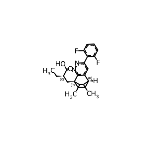 CC[C@H](C[C@@]12CC[C@@H](c3cc(-c4c(F)cccc4F)nnc31)C(C)C2C)C(=O)O